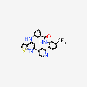 O=C(Nc1cccc(C(F)(F)F)c1)c1cccc(Nc2cc(-c3ccncc3)nc3sccc23)c1